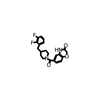 O=C1COc2ccc(C(=O)N3CCC(Cc4cccc(F)c4F)CC3)cc2N1